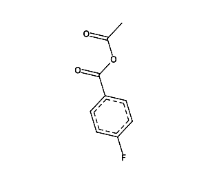 CC(=O)OC(=O)c1ccc(F)cc1